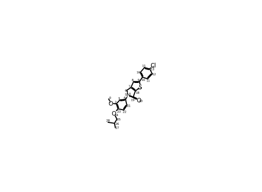 COc1cc(N2Cc3cc(-c4ccc(Cl)cc4)sc3C2=O)ccc1OCC(C)C